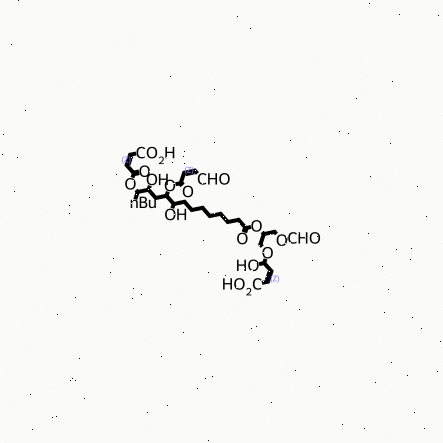 CCCCC(OC(=O)/C=C\C(=O)O)C(O)CC(OC(=O)/C=C\C=O)C(O)CCCCCCCC(=O)OC(COC=O)COC(O)/C=C\C(=O)O